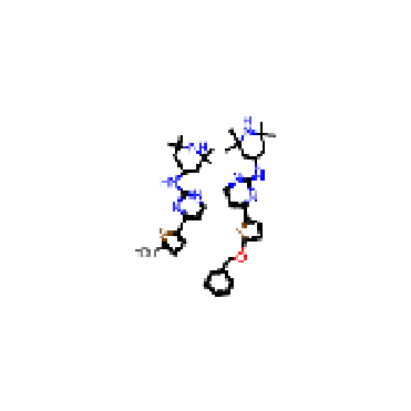 CC1(C)CC(Nc2nccc(-c3ccc(OCc4ccccc4)s3)n2)CC(C)(C)N1.CCCCc1ccc(-c2ccnc(NC3CC(C)(C)NC(C)(C)C3)n2)s1